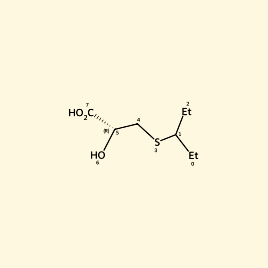 CCC(CC)SC[C@H](O)C(=O)O